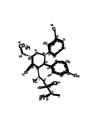 CC[C@@H](CS(=O)(=O)[C@@H](C)C(C)C)N1C(=O)[C@H](CC(=O)O)O[C@H](c2cccc(Cl)c2)[C@H]1c1ccc(Cl)cc1